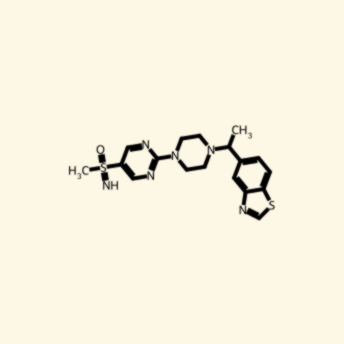 CC(c1ccc2scnc2c1)N1CCN(c2ncc(S(C)(=N)=O)cn2)CC1